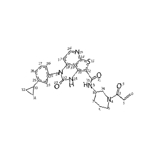 C=CC(=O)N1CCCC(NC(=O)c2sc3nccc4c3c2NC(=O)N4c2cccc(C3CC3)c2)C1